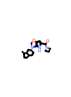 CC1=C=Cc2ccc(N3COc4cc(C(=O)N5CCC5)[nH]c43)cc21